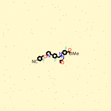 COC(=O)c1cc2c(cc1F)nc(Cc1ccc(-c3cccc(OCc4ccc(C#N)cc4F)n3)cc1F)n2C[C@@H]1CCO1